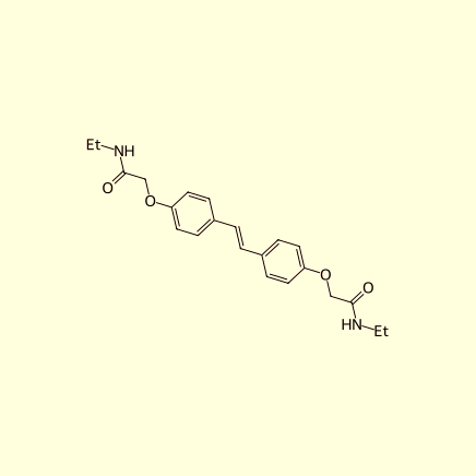 CCNC(=O)COc1ccc(/C=C/c2ccc(OCC(=O)NCC)cc2)cc1